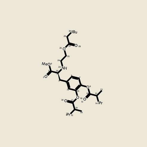 COC(=O)[C@H](Cc1ccc(OC(=O)C(C)C(C)C)c(OC(=O)C(C)C(C)C)c1)NCCOC(=O)CC(C)(C)C